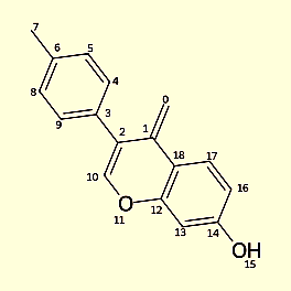 C=C1C(c2ccc(C)cc2)=COc2cc(O)ccc21